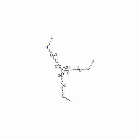 CCCCC/C=C\CCCOC(=O)CCCCC(=O)OCC(CO)(COC(=O)CCCCC(=O)OCCC/C=C\CCCCC)COC(=O)CCCCC(=O)OCCC/C=C\CCCCC